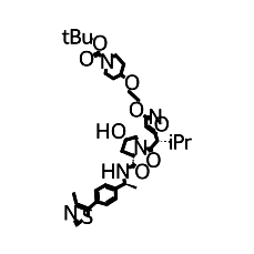 Cc1ncsc1-c1ccc([C@H](C)NC(=O)[C@@H]2C[C@@H](O)CN2C(=O)[C@H](c2cc(OCCOC3CCN(C(=O)OC(C)(C)C)CC3)no2)C(C)C)cc1